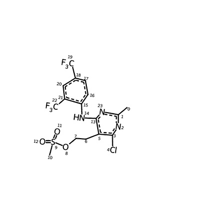 Cc1nc(Cl)c(CCOS(C)(=O)=O)c(Nc2ccc(C(F)(F)F)cc2C(F)(F)F)n1